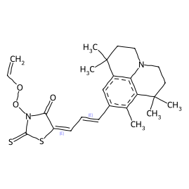 C=COON1C(=O)/C(=C\C=C\c2cc3c4c(c2C)C(C)(C)CCN4CCC3(C)C)SC1=S